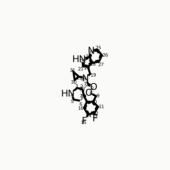 O=C([C@H]1CNCC[C@@]12OCc1cc(F)c(F)cc12)N(Cc1c[nH]c2ncccc12)C1CC1